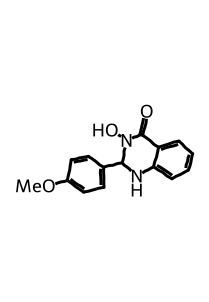 COc1ccc(C2Nc3ccccc3C(=O)N2O)cc1